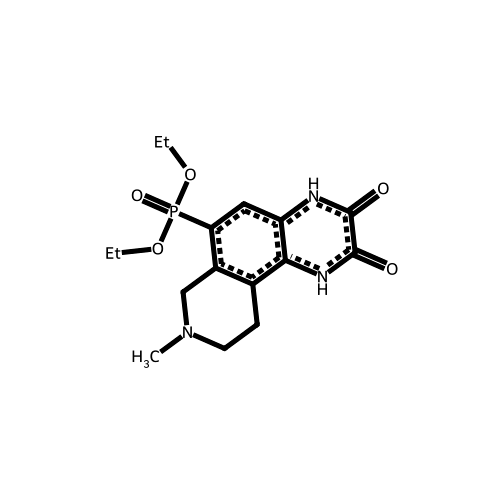 CCOP(=O)(OCC)c1cc2[nH]c(=O)c(=O)[nH]c2c2c1CN(C)CC2